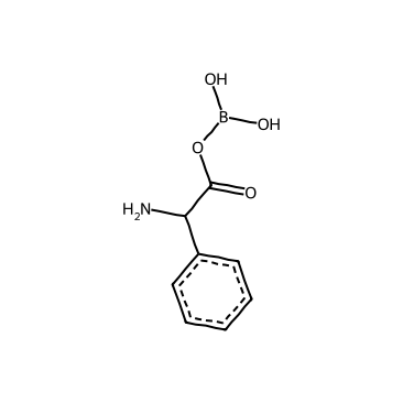 NC(C(=O)OB(O)O)c1ccccc1